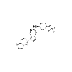 FC(F)(F)O[C@H]1CC[C@@H](Nc2ncc3c(-c4ccc5nccn5n4)ccn3n2)CC1